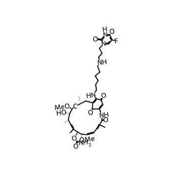 CO[C@H]1/C=C\C=C(/C)C(=O)NC2=CC(=O)C(NCCCCCCNCCCn3cc(F)c(=O)[nH]c3=O)=C(C[C@@H](C)C[C@H](OC)[C@@H](O)[C@@H](C)/C=C(\C)[C@@H]1OC(N)=O)C2=O